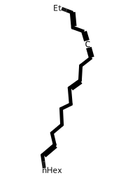 [CH2]CCCCCC=CCCCCC=CCC=C=CC=CCC